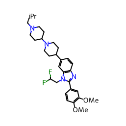 COc1ccc(-c2nc3ccc(C4CCN(C5CCN(CC(C)C)CC5)CC4)cc3n2CC(F)F)cc1OC